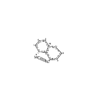 C#N.c1ccc2ccccc2c1